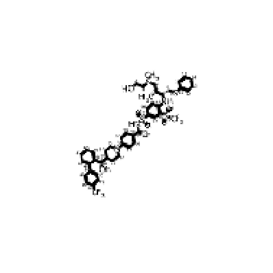 C[C@H](CN(C)CCO)[C@H](CSc1ccccc1)Nc1ccc(S(=O)(=O)NC(=O)c2ccc(N3CCC([C@@H](O)c4ccccc4-c4ccc(C(F)(F)F)cc4)CC3)cc2)cc1S(=O)(=O)C(F)(F)F